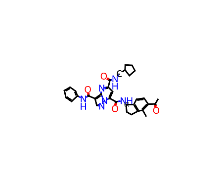 CC(=O)c1ccc2c(c1C)CC[C@@H]2NC(=O)c1cc(C(=O)NCC2CCCC2)nc2c(C(=O)Nc3ccccc3)cnn12